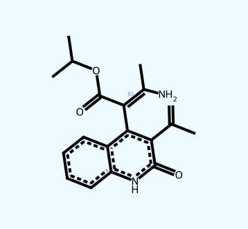 C=C(C)c1c(/C(C(=O)OC(C)C)=C(/C)N)c2ccccc2[nH]c1=O